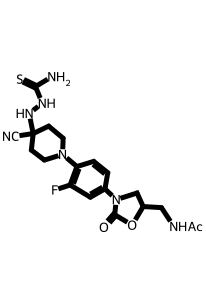 CC(=O)NCC1CN(c2ccc(N3CCC(C#N)(NNC(N)=S)CC3)c(F)c2)C(=O)O1